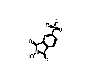 O=C1c2ccc(S(=O)(=O)O)cc2C(=O)N1O